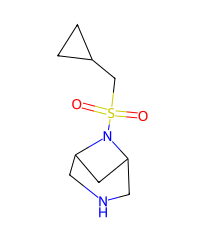 O=S(=O)(CC1CC1)N1C2CNCC1C2